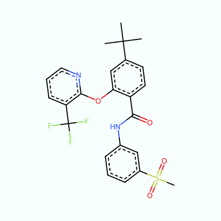 CC(C)(C)c1ccc(C(=O)Nc2cccc(S(C)(=O)=O)c2)c(Oc2ncccc2C(F)(F)F)c1